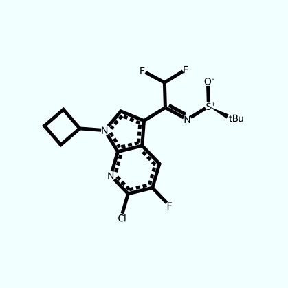 CC(C)(C)[S@+]([O-])N=C(c1cn(C2CCC2)c2nc(Cl)c(F)cc12)C(F)F